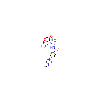 CCN1CCN(c2ccc(C(=O)N[C@H](C(=O)N3C[C@@H](O)[C@H]4OCC(=O)[C@H]43)C(C)(C)C)cc2)CC1